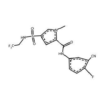 Cn1cc(S(=O)(=O)NCC(F)(F)F)cc1C(=O)Nc1ccc(F)c(C#N)c1